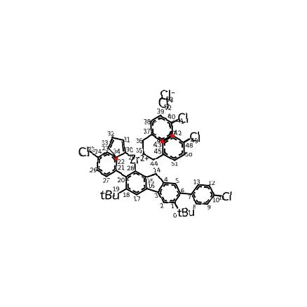 CC(C)(C)c1cc2c(cc1-c1ccc(Cl)cc1)Cc1c-2cc(C(C)(C)C)c(-c2ccc(Cl)cc2)[c]1[Zr+2]([C]1=CC=CC1)=[C](Cc1ccc(Cl)cc1)Cc1ccc(Cl)cc1.[Cl-].[Cl-]